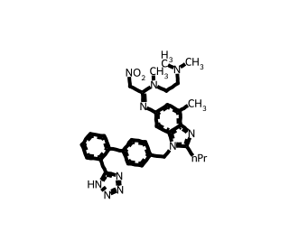 CCCc1nc2c(C)cc(N=C(C[N+](=O)[O-])N(C)CCN(C)C)cc2n1Cc1ccc(-c2ccccc2-c2nnn[nH]2)cc1